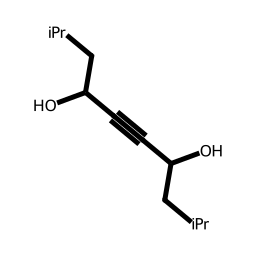 CC(C)CC(O)C#CC(O)CC(C)C